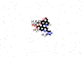 Cc1cc2nc(-c3cncn3C)ccc2c(C2=CC=C3OCCC4=CC=NC2C43C)c1[C@H](OC(C)(C)C)C(=O)O